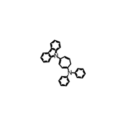 C1=CC(n2c3ccccc3c3ccccc32)=CC=C(N(c2ccccc2)c2ccccc2)C1